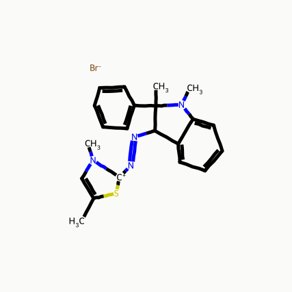 Cc1cn(C)[c+](N=NC2c3ccccc3N(C)C2(C)c2ccccc2)s1.[Br-]